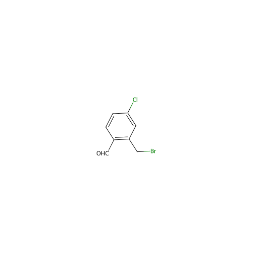 O=Cc1ccc(Cl)cc1CBr